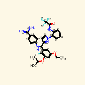 CCOc1cc(OC(C)C)c(F)c(C(Nc2ccc(C(=N)N)cc2)c2ccn(-c3ccccc3NC(=O)C(F)(F)F)n2)c1